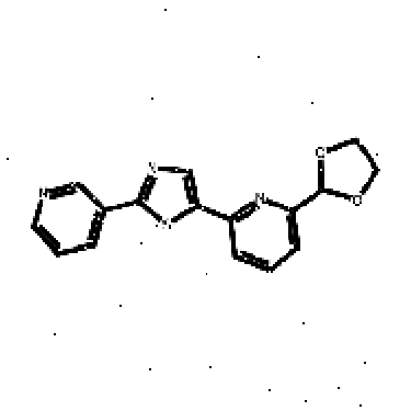 c1cncc(-c2ncc(-c3cccc(C4OCCO4)n3)s2)c1